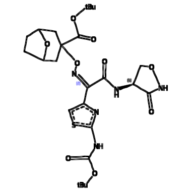 CC(C)(C)OC(=O)Nc1nc(/C(=N/OC2(C(=O)OC(C)(C)C)CC3CCC(C2)O3)C(=O)N[C@H]2CONC2=O)cs1